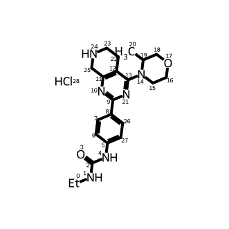 CCNC(=O)Nc1ccc(-c2nc3c(c(N4CCOCC4C)n2)CCNC3)cc1.Cl